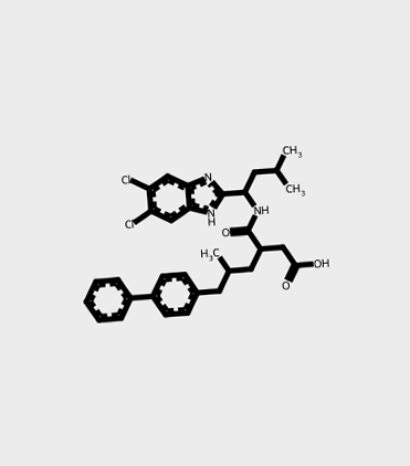 CC(C)CC(NC(=O)C(CC(=O)O)CC(C)Cc1ccc(-c2ccccc2)cc1)c1nc2cc(Cl)c(Cl)cc2[nH]1